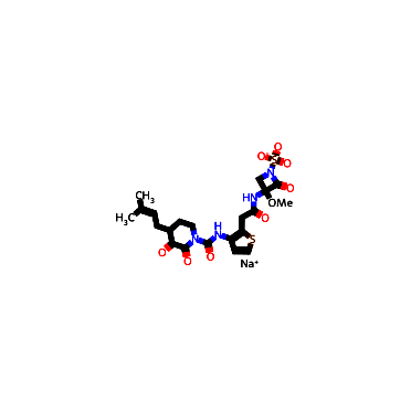 COC1(NC(=O)Cc2sccc2NC(=O)N2CCC(CC=C(C)C)C(=O)C2=O)CN(S(=O)(=O)[O-])C1=O.[Na+]